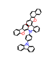 c1ccc(N(c2ccc(-n3c4ccccc4c4ccccc43)cc2)c2cccc3c2oc2ccccc23)c(-c2cccc3c2oc2c4ccccc4ccc32)c1